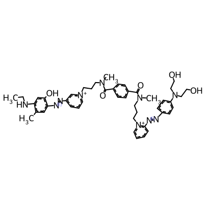 CCNc1cc(O)c(/N=N/c2ccc[n+](CCCN(C)C(=O)c3ccc(C(=O)N(C)CCC[n+]4ccccc4/N=N/c4ccc(N(CCO)CCO)cc4)cc3)c2)cc1C